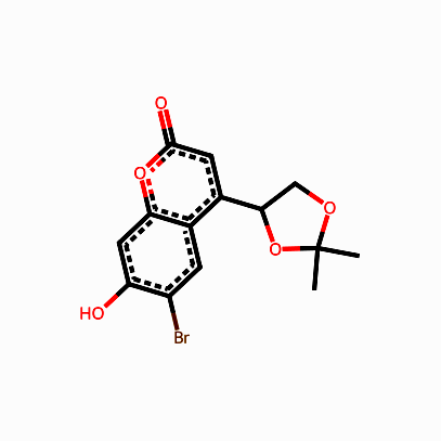 CC1(C)OCC(c2cc(=O)oc3cc(O)c(Br)cc23)O1